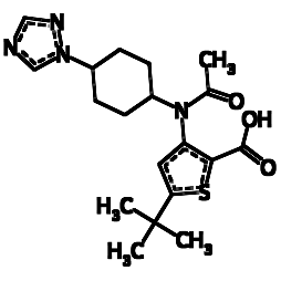 CC(=O)N(c1cc(C(C)(C)C)sc1C(=O)O)C1CCC(n2cncn2)CC1